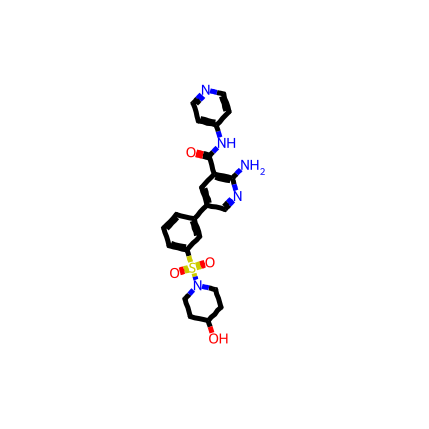 Nc1ncc(-c2cccc(S(=O)(=O)N3CCC(O)CC3)c2)cc1C(=O)Nc1ccncc1